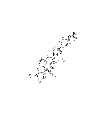 COc1cc(/C=C\c2cc(Br)c(OC)c(N/C=C\C(=O)c3ccc(OC(F)(F)F)cc3)c2)cc(OC)c1OC